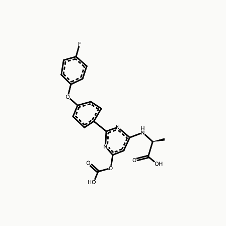 C[C@H](Nc1cc(OC(=O)O)nc(-c2ccc(Oc3ccc(F)cc3)cc2)n1)C(=O)O